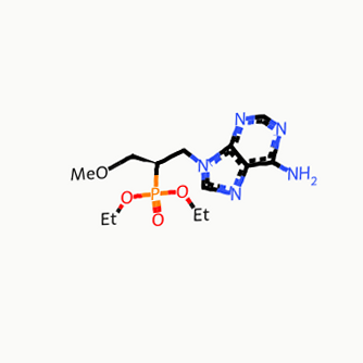 CCOP(=O)(OCC)[C@@H](COC)Cn1cnc2c(N)ncnc21